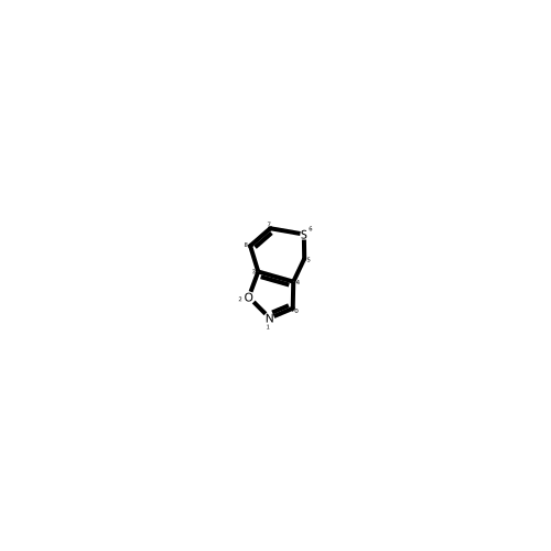 [c]1noc2c1CSC=C2